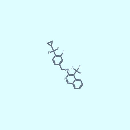 Fc1cc(CNc2ncc3ccccc3c2C(F)(F)F)ccc1C(F)(F)C1CC1